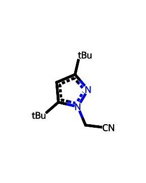 CC(C)(C)c1cc(C(C)(C)C)n(CC#N)n1